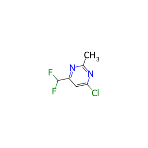 Cc1nc(Cl)cc(C(F)F)n1